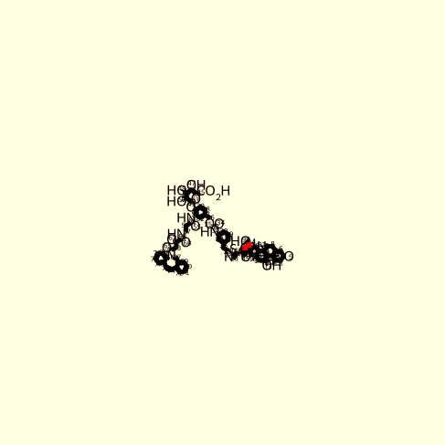 C[C@]12C=CC(=O)C=C1CC[C@@H]1[C@@H]2[C@@H](O)C[C@@]2(C)[C@H]1C[C@H]1O[C@H](c3cnc(Cc4cccc(NC(=O)OCc5ccc(O[C@@H]6O[C@H](C(=O)O)[C@@H](O)[C@H](O)[C@H]6O)c(NC(=O)CCNC(=O)C(=O)CC(=O)N6Cc7ccccc7C#Cc7ccccc76)c5)c4)s3)O[C@]12C(=O)CO